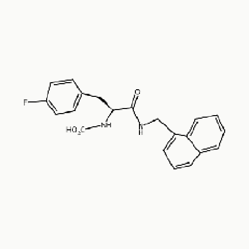 O=C(O)N[C@@H](Cc1ccc(F)cc1)C(=O)NCc1cccc2ccccc12